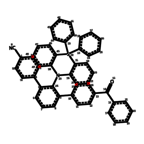 N#Cc1ccc(-c2cccc(-c3ccc(C(=O)c4ccccc4)cc3)c2N2c3ccccc3S(c3ccccc3)(c3ccccc3)c3ccccc32)cc1